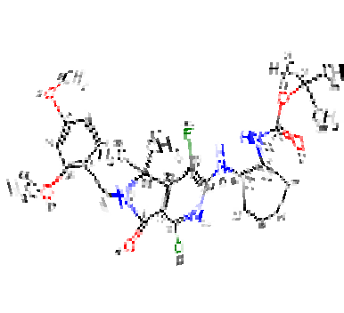 COc1ccc(CN2C(=O)c3c(Cl)nc(N[C@@H]4CCCC[C@@H]4NC(=O)OC(C)(C)C)c(F)c3C2(C)C)c(OC)c1